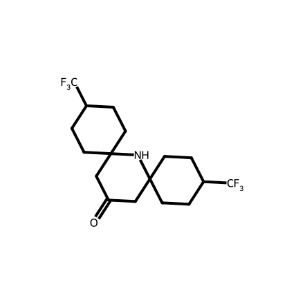 O=C1CC2(CCC(C(F)(F)F)CC2)NC2(CCC(C(F)(F)F)CC2)C1